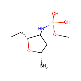 B[C@H]1CC(N[PH](O)(O)OC)[C@@H](CC)O1